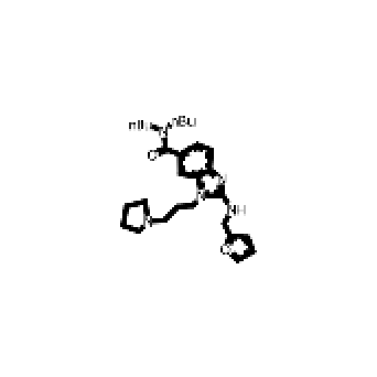 CCCCN(CCCC)C(=O)c1ccc2nc(NCc3ccco3)n(CCCN3CCCC3)c2c1